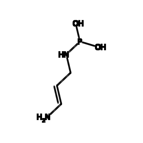 NC=CCNP(O)O